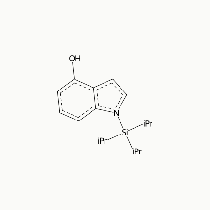 CC(C)[Si](C(C)C)(C(C)C)n1ccc2c(O)cccc21